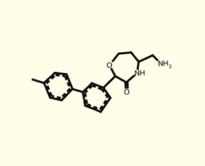 Cc1ccc(-c2cccc(C3OCCC(CN)NC3=O)c2)cc1